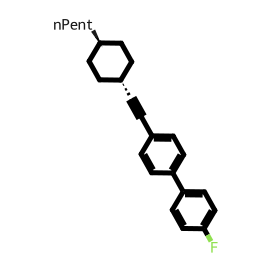 CCCCC[C@H]1CC[C@H](C#Cc2ccc(-c3ccc(F)cc3)cc2)CC1